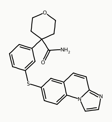 NC(=O)C1(c2cccc(Sc3ccc4c(ccc5nccn54)c3)c2)CCOCC1